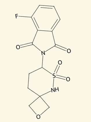 O=C1c2cccc(F)c2C(=O)N1C1CCC2(COC2)NS1(=O)=O